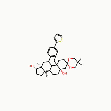 CC1(C)COC2(CC[C@@]34Cc5cc(-c6cccs6)ccc5C5C[C@]6(C)[C@@H](O)CC[C@H]6[C@H](CC[C@@]3(O)C2)C54)OC1